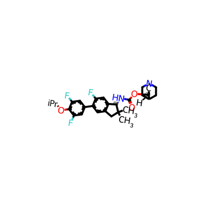 CC(C)Oc1c(F)cc(-c2cc3c(cc2F)[C@H](NC(=O)O[C@@H]2CN4CCC2CC4)C(C)(C)C3)cc1F